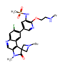 CCCCN1CC2(C1)C(=O)N(C)c1cnc3cc(F)c(-c4cnc(OCCNC(C)C)c(NS(C)(=O)=O)c4)cc3c12